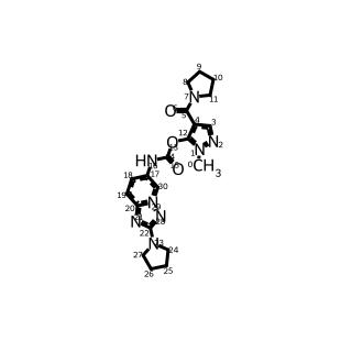 Cn1ncc(C(=O)N2CCCC2)c1OC(=O)Nc1ccc2nc(N3CCCC3)nn2c1